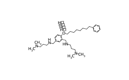 CN(C)CCCNCc1ccc(OCCCCCCCCc2ccccc2)c(CNCCCN(C)C)c1.Cl.Cl.Cl.Cl